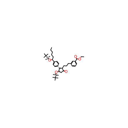 CCCCCC(O[Si](C)(C)C(C)(C)C)c1ccc([C@@H]2C(CCCc3cccc(C(=O)OCC)c3)C(=O)C[C@H]2O[Si](C)(C)C(C)(C)C)cc1